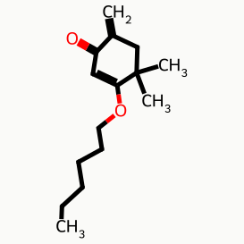 C=C1CC(C)(C)C(OCCCCCC)=CC1=O